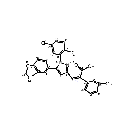 O=C(O)/C(=C\c1cc(-c2ccc3c(c2)OCO3)n(-c2cc(Cl)ccc2Cl)n1)c1cccc(Cl)c1